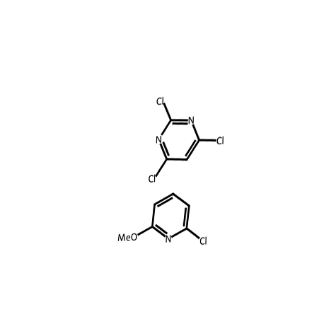 COc1cccc(Cl)n1.Clc1cc(Cl)nc(Cl)n1